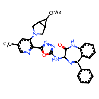 COC1C2CN(c3cc(C(F)(F)F)cnc3-c3nnc(NC4N=C(c5ccccc5)c5ccccc5NC4=O)o3)CC21